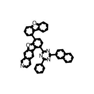 c1ccc(-c2nc(-c3ccc4ccccc4c3)nc(-c3ccc(-c4cccc5oc6ccccc6c45)c4oc5cc6cnccc6cc5c34)n2)cc1